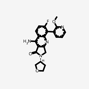 COc1ncccc1-c1c(F)ccc2c(N)c3c(nc12)CN([C@@H]1CCOC1)C3=O